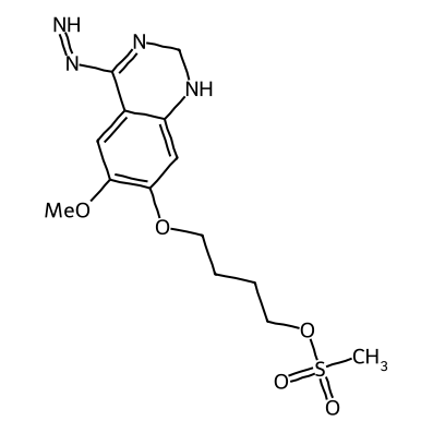 COc1cc2c(cc1OCCCCOS(C)(=O)=O)NCN=C2N=N